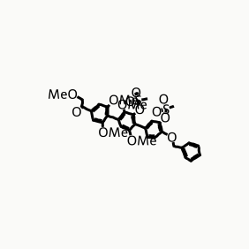 COCC(=O)c1cc(OC)c(-c2cc(OC)c(-c3ccc(OCc4ccccc4)c(OS(C)(=O)=O)c3)c(OS(C)(=O)=O)c2OC)c(OC)c1